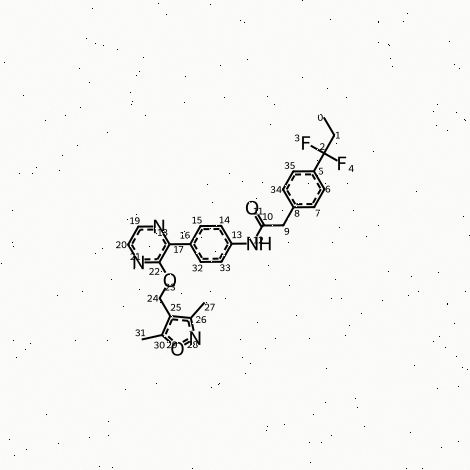 CCC(F)(F)c1ccc(CC(=O)Nc2ccc(-c3nccnc3OCc3c(C)noc3C)cc2)cc1